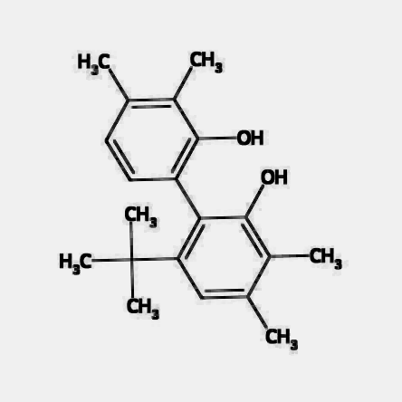 Cc1ccc(-c2c(C(C)(C)C)cc(C)c(C)c2O)c(O)c1C